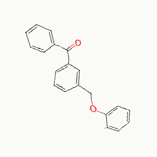 O=C(c1ccccc1)c1cccc(COc2[c]cccc2)c1